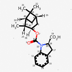 C[C@@H]1[C@H]2C[C@@H](C[C@H]1OC(=O)N1c3ccccc3C[C@@H]1C(=O)O)C2(C)C